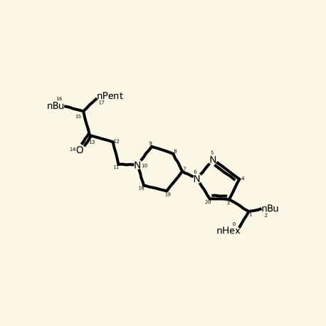 CCCCCCC(CCCC)c1cnn(C2CCN(CCC(=O)C(CCCC)CCCCC)CC2)c1